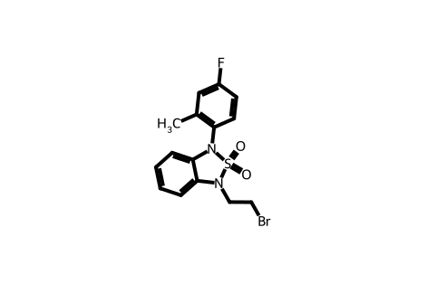 Cc1cc(F)ccc1N1c2ccccc2N(CCBr)S1(=O)=O